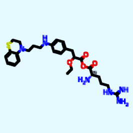 CCOC(Cc1ccc(NCCCN2CCSc3ccccc32)cc1)C(=O)OC(=O)[C@@H](N)CCCNC(=N)N